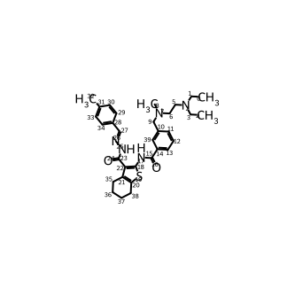 CCN(CC)CCN(C)Cc1cccc(C(=O)Nc2sc3c(c2C(=O)N/N=C/c2ccc(C)cc2)CCCC3)c1